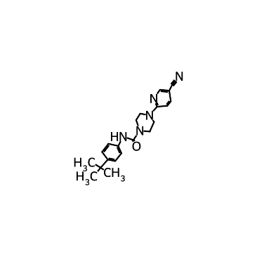 CC(C)(C)c1ccc(NC(=O)N2CCN(c3ccc(C#N)cn3)CC2)cc1